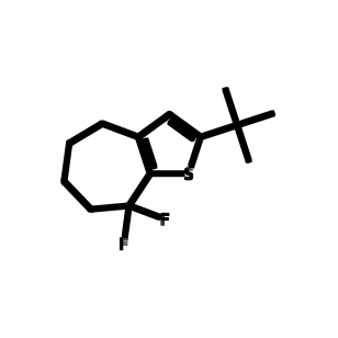 CC(C)(C)c1cc2c(s1)C(F)(F)CCCC2